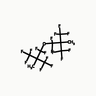 CC(C(F)(F)F)(C(F)(F)F)C(F)(F)OC(F)(F)C(C)(C(F)(F)F)C(F)(F)F